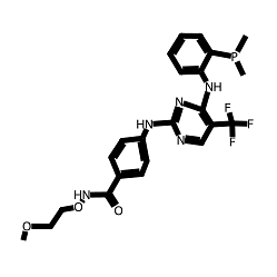 COCCONC(=O)c1ccc(Nc2ncc(C(F)(F)F)c(Nc3ccccc3P(C)C)n2)cc1